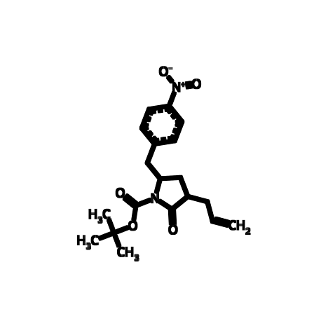 C=CCC1CC(Cc2ccc([N+](=O)[O-])cc2)N(C(=O)OC(C)(C)C)C1=O